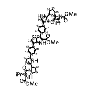 COC(=O)N[C@H](C(=O)N1CCCC1C1=NCC(c2ccc(-c3csc4c(-c5ccc(-c6c[nH]c(C7CCCN7C(=O)[C@@H](NC(=O)OC)C(C)C)n6)cc5)c(C(=O)OC)[nH]c34)cc2)N1)C(C)C